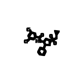 O=C(NC1CN(S(=O)(=O)CC2CC2)CC1c1ccccc1)c1cc(Cl)cc(Cl)c1